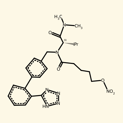 CC(C)[C@@H](C(=O)N(C)C)N(Cc1ccc(-c2ccccc2-c2nnn[nH]2)cc1)C(=O)CCCCO[N+](=O)[O-]